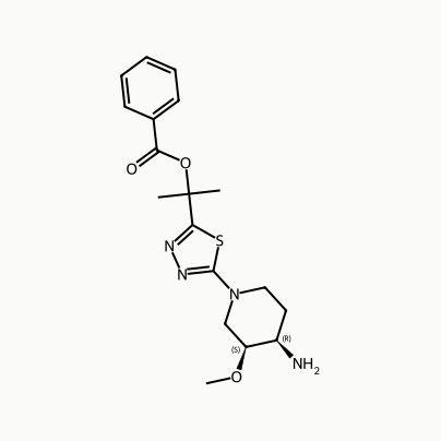 CO[C@H]1CN(c2nnc(C(C)(C)OC(=O)c3ccccc3)s2)CC[C@H]1N